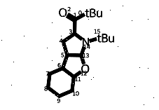 CC(C)(C)C(=O)C1CC2C3CCCCC3OC2N1C(C)(C)C